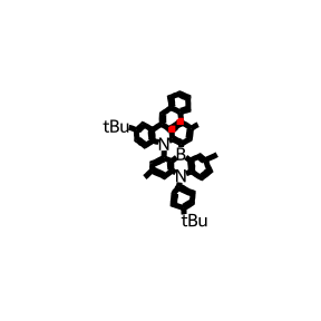 Cc1ccc2c(c1)B1c3cc(C)ccc3N(c3ccc(C(C)(C)C)cc3-c3ccc4ccccc4c3)c3cc(C)cc(c31)N2c1ccc(C(C)(C)C)cc1